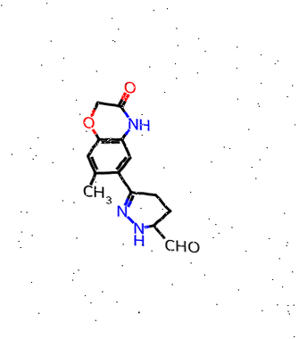 Cc1cc2c(cc1C1=NNC(C=O)CC1)NC(=O)CO2